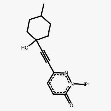 CC1CCC(O)(C#Cc2ccc(=O)n(C(C)C)n2)CC1